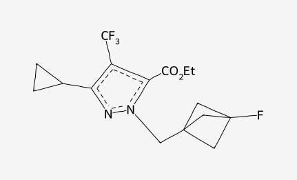 CCOC(=O)c1c(C(F)(F)F)c(C2CC2)nn1CC12CC(F)(C1)C2